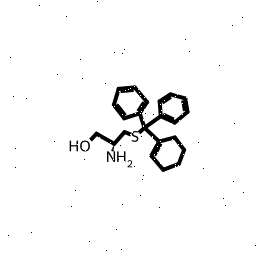 N[C@H](CO)CSC(C1=CCCCC1)(c1ccccc1)c1ccccc1